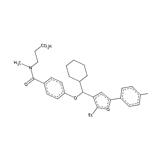 CCc1oc(-c2ccc(C(F)(F)F)cc2)cc1C(Oc1ccc(C(=O)N(C)CCC(=O)O)cc1)C1CCCCC1